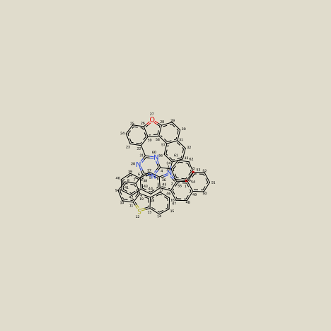 c1ccc(-c2nc(-c3cccc4sc5ccccc5c34)nc(-c3cccc4oc5ccc6ccc(-n7c8cc9ccccc9cc8c8ccc9ccccc9c87)cc6c5c34)n2)cc1